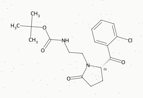 CC(C)(C)OC(=O)NCCN1C(=O)CC[C@H]1C(=O)c1ccccc1Cl